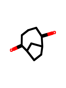 O=C1CCCC(=O)C2CCC1C2